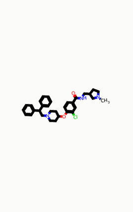 CN1CCC(CNC(=O)c2ccc(OC3CCN(CC(c4ccccc4)c4ccccc4)CC3)c(Cl)c2)C1